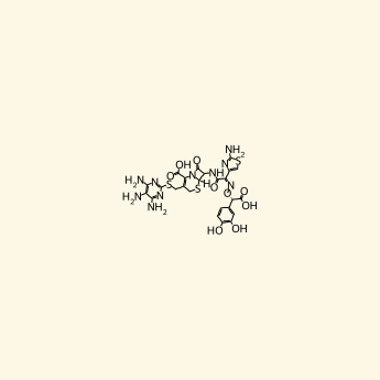 Nc1nc(/C(=N/O[C@H](C(=O)O)c2ccc(O)c(O)c2)C(=O)NC2C(=O)N3C(C(=O)O)=C(CSc4nc(N)c(N)c(N)n4)CS[C@@H]23)cs1